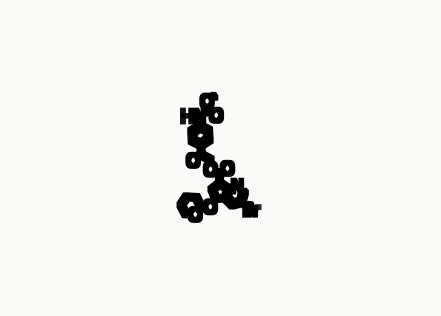 COC(=O)Nc1ccc(C(=O)COC(=O)C2CC(OC3CCCCO3)c3cc(Br)cnc32)cc1